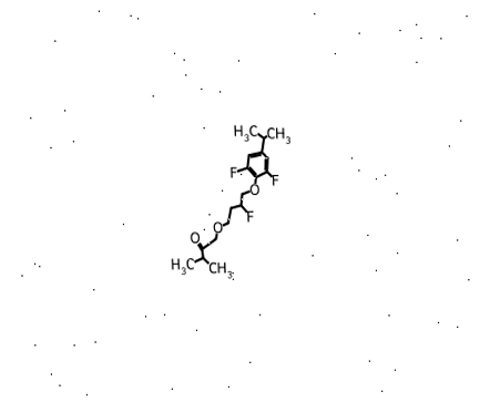 CC(C)C(=O)COCCC(F)COc1c(F)cc(C(C)C)cc1F